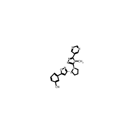 Cn1c(-c2cncnc2)nnc1N1CCC[C@@H]1c1cc(-c2cccc(C#N)c2)on1